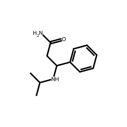 CC(C)NC(CC(N)=O)c1ccccc1